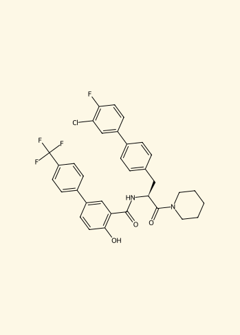 O=C(N[C@@H](Cc1ccc(-c2ccc(F)c(Cl)c2)cc1)C(=O)N1CCCCC1)c1cc(-c2ccc(C(F)(F)F)cc2)ccc1O